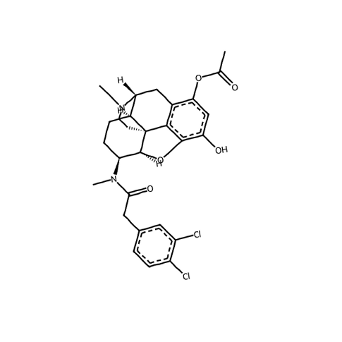 CC(=O)Oc1cc(O)c2c3c1C[C@@H]1[C@@H]4CC[C@H](N(C)C(=O)Cc5ccc(Cl)c(Cl)c5)[C@H](O2)[C@]34CCN1C